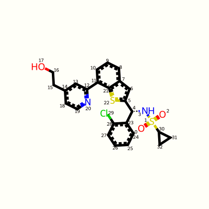 O=S(=O)(N[C@@H](c1cc2cccc(-c3cc(CCO)ccn3)c2s1)c1ccccc1Cl)C1CC1